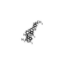 CCOc1ccc(C(=O)CC(CNC[C@H]2CC[C@@H](Nc3nc(N(C)C)c4ccccc4n3)CC2)Sc2ccc(C)cc2)cc1